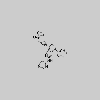 CC(C)c1ccc(N2CC(CS(C)(=O)=O)C2)c2cnc(Nc3ccncn3)cc12